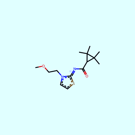 COCCn1ccs/c1=N\C(=O)C1C(C)(C)C1(C)C